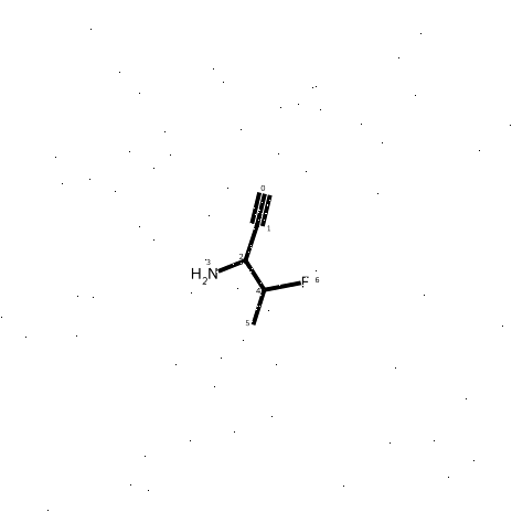 C#CC(N)C(C)F